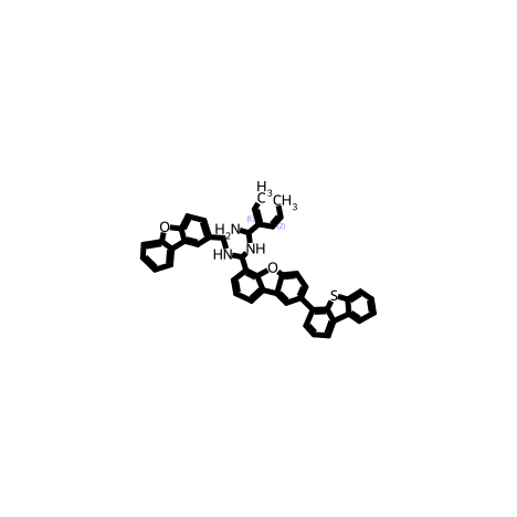 C/C=C\C(=C/C)C(N)NC(NCc1ccc2oc3ccccc3c2c1)c1cccc2c1oc1ccc(-c3cccc4c3sc3ccccc34)cc12